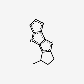 CC1CCc2sc3c(oc4ccsc43)c21